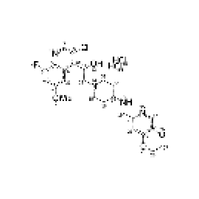 COc1cc(F)c2ncc(Cl)c(C(O)CN3CCC(NCc4cc5c(cn4)OCCO5)CC3)c2c1.Cl.Cl